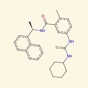 Cc1ccc(NC(=S)NC2CCCCC2)cc1C(=O)N[C@H](C)c1cccc2ccccc12